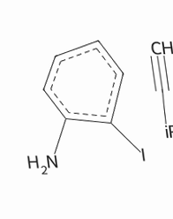 C#CC(C)C.Nc1ccccc1I